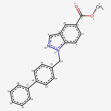 COC(=O)c1ccc2c(cnn2Cc2ccc(-c3ccccc3)cc2)c1